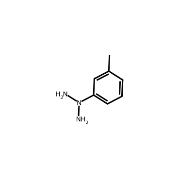 Cc1cccc(N(N)N)c1